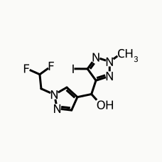 Cn1nc(I)c(C(O)c2cnn(CC(F)F)c2)n1